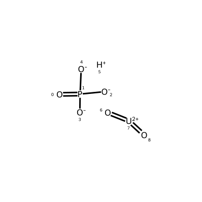 O=P([O-])([O-])[O-].[H+].[O]=[U+2]=[O]